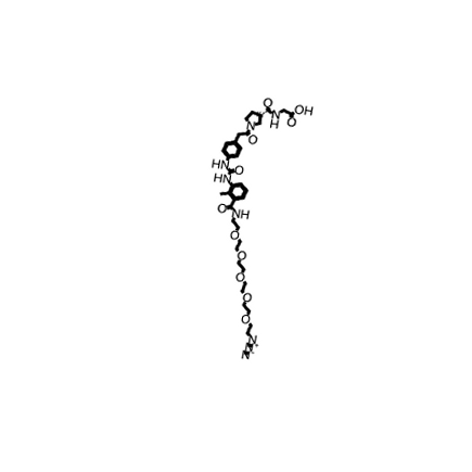 Cc1c(NC(=O)Nc2ccc(CC(=O)N3CC[C@H](C(=O)NCC(=O)O)C3)cc2)cccc1C(=O)NCCOCCOCCOCCOCCOCCN=[N+]=[N-]